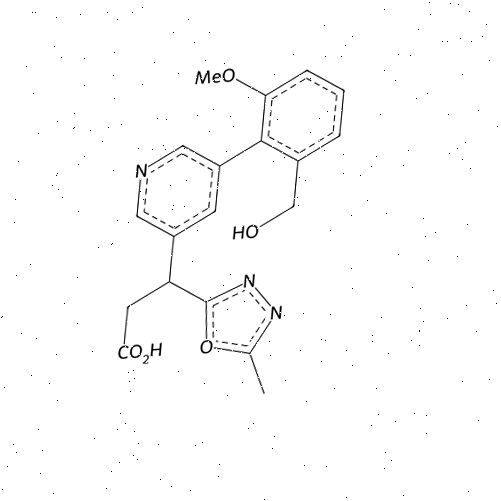 COc1cccc(CO)c1-c1cncc(C(CC(=O)O)c2nnc(C)o2)c1